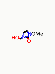 CON1CCN(CO)C1=O